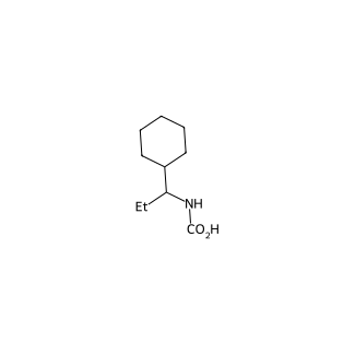 CCC(NC(=O)O)C1CCCCC1